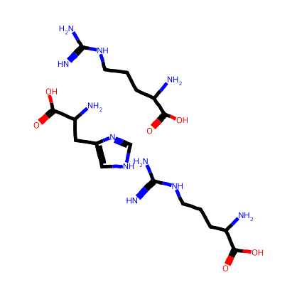 N=C(N)NCCCC(N)C(=O)O.N=C(N)NCCCC(N)C(=O)O.NC(Cc1c[nH]cn1)C(=O)O